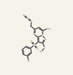 CCSc1nn2c(C)cc(CN=[N+]=[N-])nc2c1S(=O)(=O)c1cccc(Cl)c1